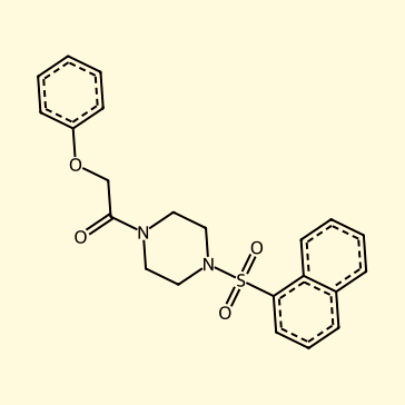 O=C(COc1ccccc1)N1CCN(S(=O)(=O)c2cccc3ccccc23)CC1